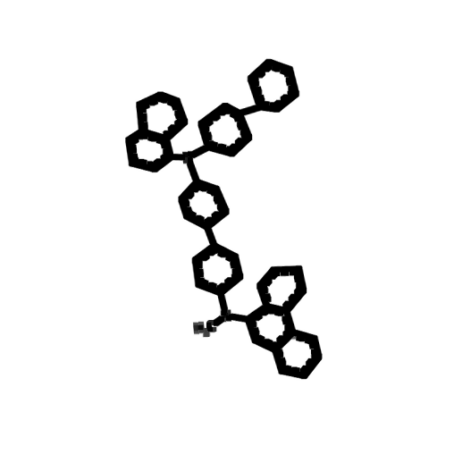 CN(c1ccc(-c2ccc(N(c3ccc(-c4ccccc4)cc3)c3cccc4ccccc34)cc2)cc1)c1cc2ccccc2c2ccccc12